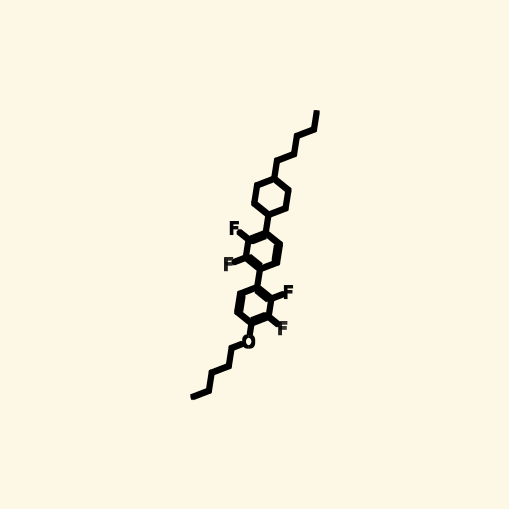 CCCCCOc1ccc(-c2ccc(C3CCC(CCCCC)CC3)c(F)c2F)c(F)c1F